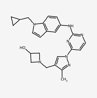 Cc1nn(-c2ccnc(Nc3ccc4c(ccn4CC4CC4)c3)n2)cc1CN1CC(O)C1